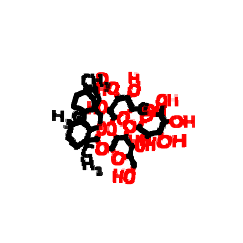 CC12CCC3C(CCC4C(C)(C(=O)OC5OC(CO)C(O)C(OC6OC(CO)C(O)C(O)C6O)C5OC5OC(CO)C(O)C(O)C5O)CCCC34C)(CC1=O)C2